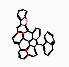 c1ccc(-c2ccccc2-c2c3ccccc3c(-c3cccc4ccccc34)c3cccc(-c4cccc5c4oc4ccccc45)c23)cc1